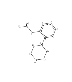 CNCc1ccccc1N1CCOCC1